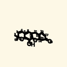 CC1(C)C=Cc2cc3c(c(O)c2O1)OC1=C(C=CC(=O)C1)C3